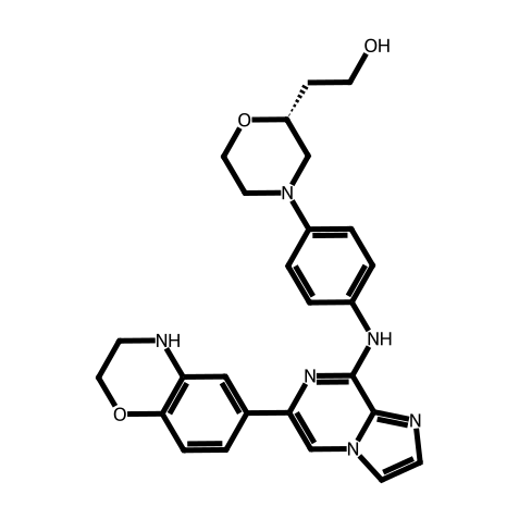 OCC[C@@H]1CN(c2ccc(Nc3nc(-c4ccc5c(c4)NCCO5)cn4ccnc34)cc2)CCO1